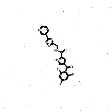 O=C(NCc1nnc(-c2cccnc2)s1)c1cc(C(=O)c2c(F)cc(F)cc2F)c[nH]1